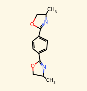 CC1COC(c2ccc(C3=NC(C)CO3)cc2)=N1